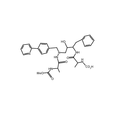 COC(=O)NC(C)C(=O)NN(Cc1ccc(-c2ccccn2)cc1)CC(O)C(Cc1ccccc1)NC(=O)C(C)NC(=O)O